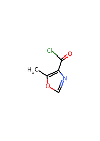 Cc1ocnc1C(=O)Cl